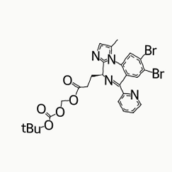 Cc1cnc2n1-c1cc(Br)c(Br)cc1C(c1ccccn1)=N[C@H]2CCC(=O)OCOC(=O)OC(C)(C)C